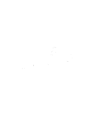 CCCCCCCCCCCOC(=O)CCCCCN(CCCCCCCC(=O)OC(CCCCCCCC)CCCCCCCC)CCCNC=C(NC)[N+](=O)[O-]